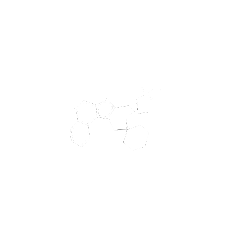 CCOCc1nc2cnc3ccccc3c2n1CC1(OCCS(C)(=O)=O)CCCCC1